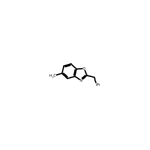 Cc1ccc2oc(CC(C)C)nc2c1